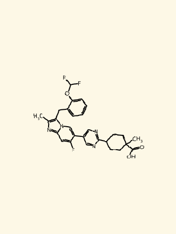 Cc1nc2cc(F)c(-c3cnc(C4CCC(C)(C(=O)O)CC4)nc3)cn2c1Cc1ccccc1OC(F)F